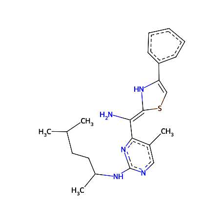 Cc1cnc(NC(C)CCC(C)C)nc1/C(N)=C1/NC(c2ccccc2)=CS1